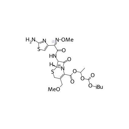 CCC(C)OC(=O)OC(C)OC(=O)C1=C(COC)CS[C@@H]2C(NC(=O)/C(=N\OC)c3csc(N)n3)C(=O)N12